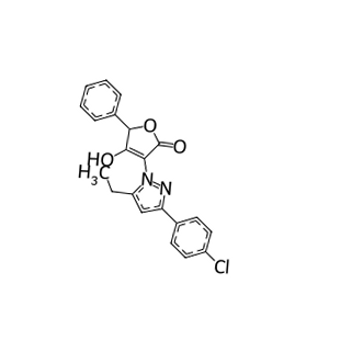 CCc1cc(-c2ccc(Cl)cc2)nn1C1=C(O)C(c2ccccc2)OC1=O